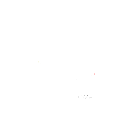 COC(=O)c1cc(C)sc1C